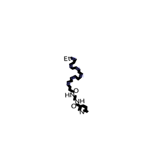 CC/C=C\C/C=C\C/C=C\C/C=C\C/C=C\C/C=C\CCC(=O)NCCNC(=O)c1ccc(C)nc1